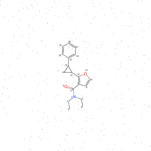 CCN(CC)C(=O)c1ccoc1C1CC1c1ccccc1